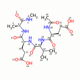 CNC(=O)[C@H](C)NC(=O)[C@H](CCC(=O)O)NC(=O)[C@@H](NC(=O)[C@H](CCC(=O)O)NC(C)=O)C(C)C